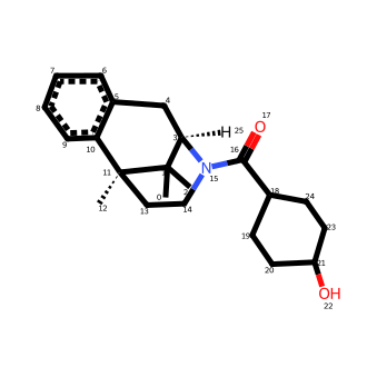 CC1(C)[C@H]2Cc3ccccc3[C@]1(C)CCN2C(=O)C1CCC(O)CC1